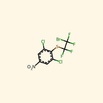 O=[N+]([O-])c1cc(Cl)c(SC(F)(F)C(F)(F)Br)c(Cl)c1